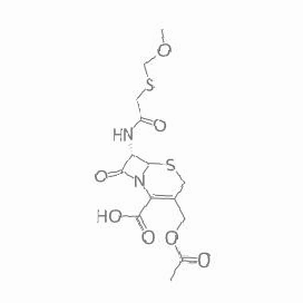 COCSCC(=O)N[C@H]1C(=O)N2C(C(=O)O)=C(COC(C)=O)CSC12